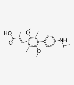 COc1c(C)c(-c2ccc(NC(C)C)cc2)c(OC)c(C)c1/C=C(\C)C(=O)O